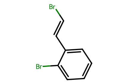 BrC=Cc1ccccc1Br